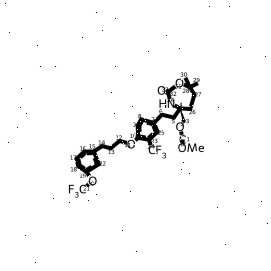 COCOC[C@]1(CCc2ccc(OCCCc3cccc(OC(F)(F)F)c3)c(C(F)(F)F)c2)CCC(C)(C)OC(=O)N1